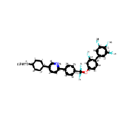 CCCCCC1CCC(c2ccc(-c3ccc(C(F)(F)Oc4ccc(-c5cc(F)c(F)c(F)c5)c(F)c4)cc3)nc2)CC1